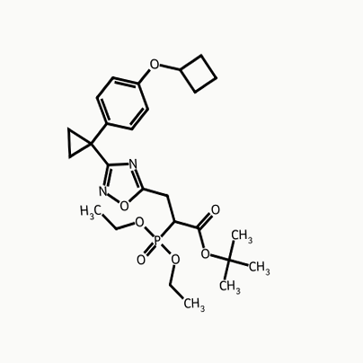 CCOP(=O)(OCC)C(Cc1nc(C2(c3ccc(OC4CCC4)cc3)CC2)no1)C(=O)OC(C)(C)C